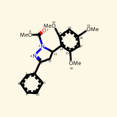 COC(=O)N1N=C(c2ccccc2)CC1c1c(OC)cc(OC)cc1OC